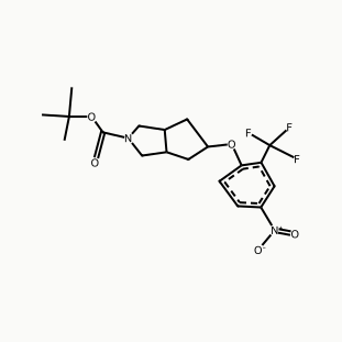 CC(C)(C)OC(=O)N1CC2CC(Oc3ccc([N+](=O)[O-])cc3C(F)(F)F)CC2C1